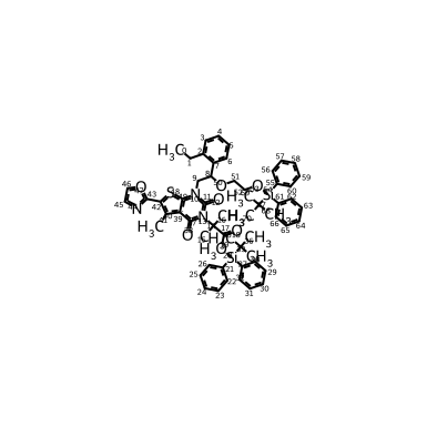 CCc1ccccc1C(Cn1c(=O)n(C(C)(C)C(=O)O[Si](c2ccccc2)(c2ccccc2)C(C)(C)C)c(=O)c2c(C)c(-c3ncco3)sc21)OCCO[Si](c1ccccc1)(c1ccccc1)C(C)(C)C